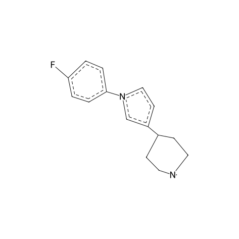 Fc1ccc(-n2ccc(C3CC[N]CC3)c2)cc1